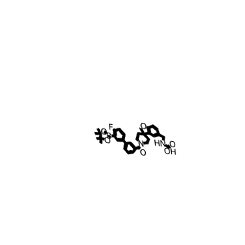 CC1(C)OB(c2cc(-c3cccc(C(=O)N4CCC5(CC4)COc4ccc(CNC(=O)O)cc45)c3)ccc2F)OC1(C)C